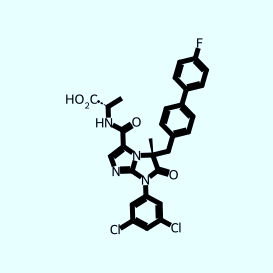 C[C@H](NC(=O)c1cnc2n1[C@](C)(Cc1ccc(-c3ccc(F)cc3)cc1)C(=O)N2c1cc(Cl)cc(Cl)c1)C(=O)O